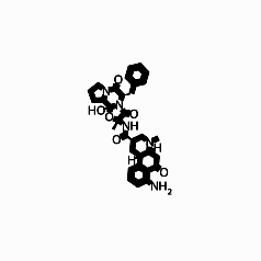 CN1C[C@H](C(=O)N[C@]2(C)O[C@@]3(O)C4CCCN4C(=O)[C@H](Cc4ccccc4)N3C2=O)C[C@@H]2c3cccc(N)c3C(=O)C[C@H]21